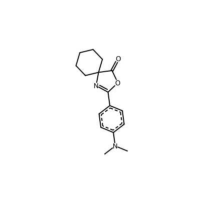 CN(C)c1ccc(C2=NC3(CCCCC3)C(=O)O2)cc1